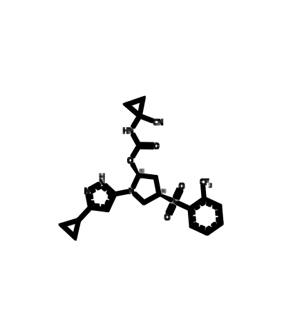 N#CC1(NC(=O)O[C@H]2C[C@@H](S(=O)(=O)c3ccccc3C(F)(F)F)CN2c2cc(C3CC3)n[nH]2)CC1